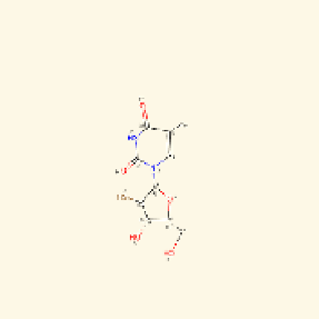 Cc1cn([C@@H]2O[C@H](CO)[C@H](O)C2S)c(=O)[nH]c1=O